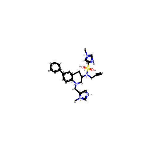 C#CCN(C1Cc2cc(-c3ccccc3)ccc2N(Cc2cncn2C)C1)S(=O)(=O)c1cn(C)cn1